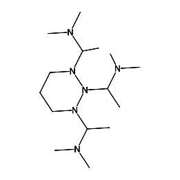 CC(N(C)C)N1CCCN(C(C)N(C)C)N1C(C)N(C)C